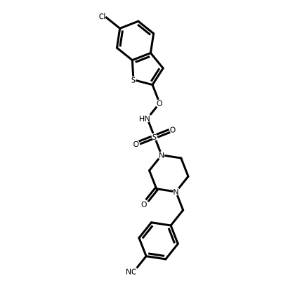 N#Cc1ccc(CN2CCN(S(=O)(=O)NOc3cc4ccc(Cl)cc4s3)CC2=O)cc1